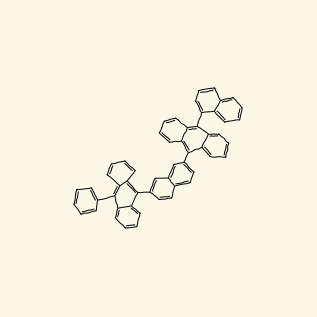 c1ccc(-c2c3ccccc3c(-c3ccc4ccc(-c5c6ccccc6c(-c6cccc7ccccc67)c6ccccc56)cc4c3)c3ccccc23)cc1